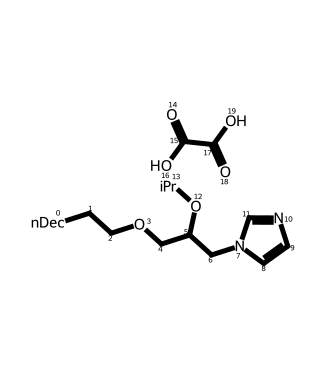 CCCCCCCCCCCCOCC(Cn1ccnc1)OC(C)C.O=C(O)C(=O)O